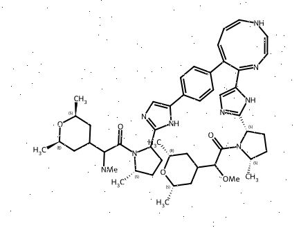 CNC(C(=O)N1C(c2ncc(-c3ccc(-c4ccc[nH]ccnc4-c4cnc([C@@H]5CC[C@H](C)N5C(=O)C(OC)C5C[C@@H](C)O[C@@H](C)C5)[nH]4)cc3)[nH]2)CC[C@@H]1C)C1C[C@@H](C)O[C@@H](C)C1